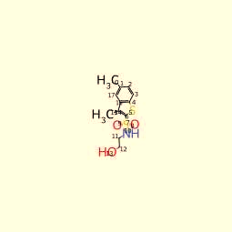 Cc1ccc2sc(S(=O)(=O)NCCO)c(C)c2c1